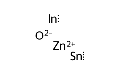 [In].[O-2].[Sn].[Zn+2]